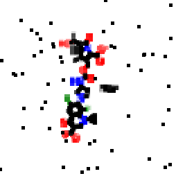 C[C@H](O)[C@H]1C(=O)N2C(C(=O)[O-])=C(COC(=O)NC3CCN(c4c(F)cc5c(=O)c(C(=O)[O-])cn(C6CC6)c5c4F)C3)[C@@H](C)[C@@H]12.[Na+].[Na+]